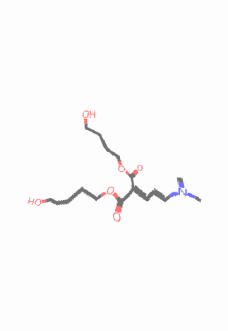 CN(C)C=CC=C(C(=O)OCCCCO)C(=O)OCCCCO